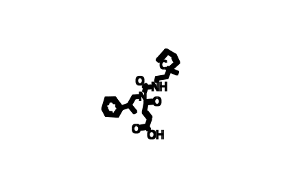 CC(CN(C(=O)C=CC(=O)O)C(=O)NCCC1(C)C=CC=CC1)c1ccccc1